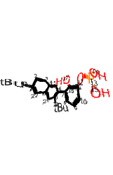 CC(C)(C)c1ccc2cc(-c3cccc(OP(O)O)c3O)c(C(C)(C)C)cc2c1